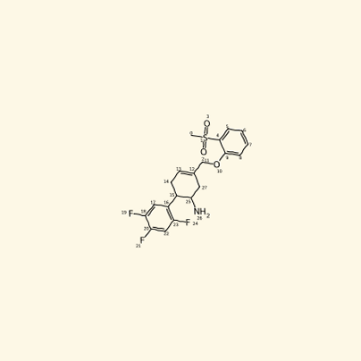 CS(=O)(=O)c1ccccc1OCC1=CCC(c2cc(F)c(F)cc2F)C(N)C1